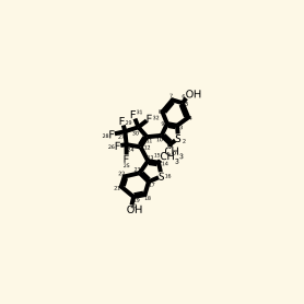 Cc1sc2cc(O)ccc2c1C1=C(c2c(C)sc3cc(O)ccc23)C(F)(F)C(F)(F)C1(F)F